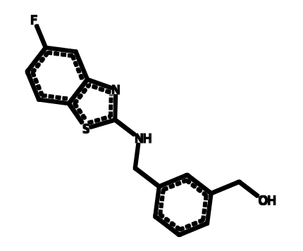 OCc1cccc(CNc2nc3cc(F)ccc3s2)c1